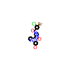 COc1ccc(-n2c(-c3ccccn3)c3n(c2=O)CCN(C(=O)c2ccc(Br)c(Cl)c2)C3)cc1